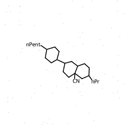 CCCCCC1CCC(C2CCC3(C#N)CC(CCC)CCC3C2)CC1